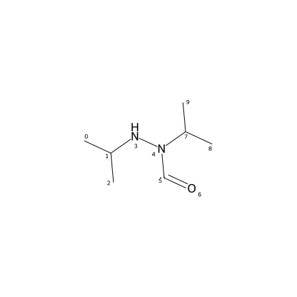 CC(C)NN([C]=O)C(C)C